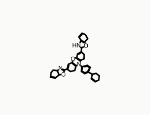 C1=CC(c2ccc(N3C4=C(C=C(C5=NC6CCC=CC6O5)CC4)OC4=C3CCC(C3NC5=C(CCC=C5)O3)=C4)cc2)CCC1